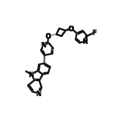 Cn1c2ccncc2c2ccc(-c3ccc(O[C@H]4C[C@H](Oc5ccnc(F)c5)C4)nc3)cc21